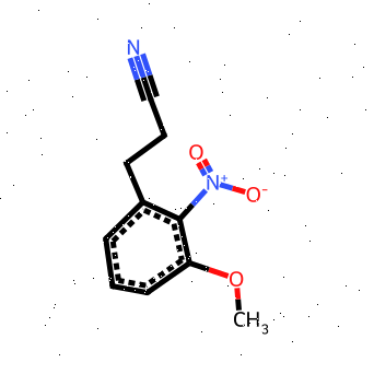 COc1cccc(CCC#N)c1[N+](=O)[O-]